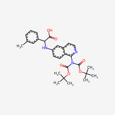 Cc1cccc(C(Nc2ccc3c(N(C(=O)OC(C)(C)C)C(=O)OC(C)(C)C)nccc3c2)C(=O)O)c1